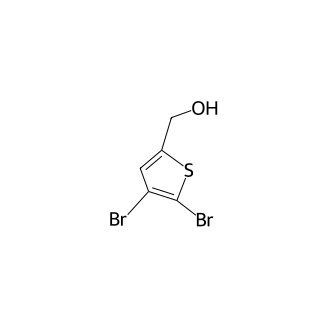 OCc1cc(Br)c(Br)s1